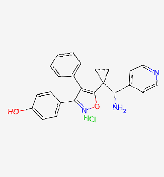 Cl.NC(c1ccncc1)C1(c2onc(-c3ccc(O)cc3)c2-c2ccccc2)CC1